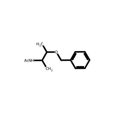 CC(=O)NC(C)C(C)OCc1ccccc1